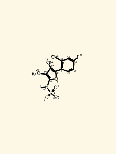 CCS(=O)(=O)N(C)c1oc(-c2ccc(F)cc2Cl)c(O)c1OC(C)=O